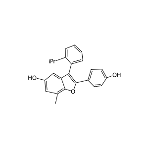 Cc1cc(O)cc2c(-c3ccccc3C(C)C)c(-c3ccc(O)cc3)oc12